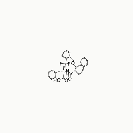 O=C(N[C@@H](Cc1ccccc1)C(=O)O)c1ccc2ccccc2c1OCc1ccccc1C(F)(F)F